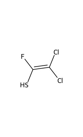 FC(S)=C(Cl)Cl